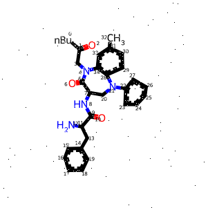 CCCCC(=O)CN1C(=O)C(NC(=O)C(N)Cc2ccccc2)CN(c2ccccc2)c2ccc(C)cc21